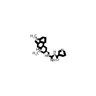 CN1C[C@H](CNC(=N)NC(=O)c2cccnc2)CC2c3cccc4c3c(cn4C)C[C@H]21